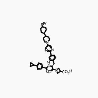 CCCC1CCC(C2CCN(c3cnc(-c4ccc(C[C@H](NC(=O)c5ccc(C6CC6)cc5)C(=O)N5CC(C(=O)O)C5)cc4)nc3)CC2)CC1